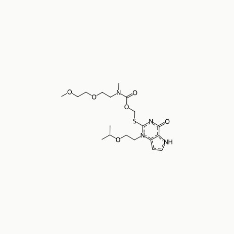 COCCOCCN(C)C(=O)OCSc1nc(=O)c2[nH]ccc2n1CCOC(C)C